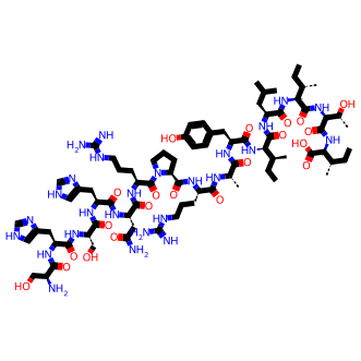 CC[C@H](C)[C@H](NC(=O)[C@@H](NC(=O)[C@@H](NC(=O)[C@H](CC(C)C)NC(=O)[C@@H](NC(=O)[C@H](Cc1ccc(O)cc1)NC(=O)[C@H](C)NC(=O)[C@H](CCCNC(=N)N)NC(=O)[C@@H]1CCCN1C(=O)[C@H](CCCNC(=N)N)NC(=O)[C@H](CC(N)=O)NC(=O)[C@H](Cc1c[nH]cn1)NC(=O)[C@H](CO)NC(=O)[C@H](Cc1c[nH]cn1)NC(=O)[C@@H](N)CO)[C@@H](C)CC)[C@@H](C)CC)[C@@H](C)O)C(=O)O